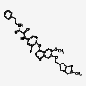 COc1cc2c(Oc3ccc(NC(=O)C(=O)NCCc4ccccc4)cc3F)ccnc2cc1OCC1CC2CN(C)CC2C1